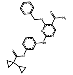 NC(=O)c1cnc(Nc2cccc(NC(=O)C3(C4CC4)CC3)c2)nc1NCc1ccccc1